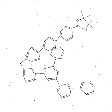 CC1(C)OB(c2ccc(-c3ccc(-c4ccc5sc6cccc(-c7nc(-c8ccccc8)nc(-c8cccc(-c9ccccc9)c8)n7)c6c5c4)cc3)cc2)OC1(C)C